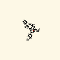 CCc1ccc(-c2ccc([C@@]3(CC(=O)NO)CCN(C(=O)c4cnccn4)CCS3(=O)=O)s2)cc1